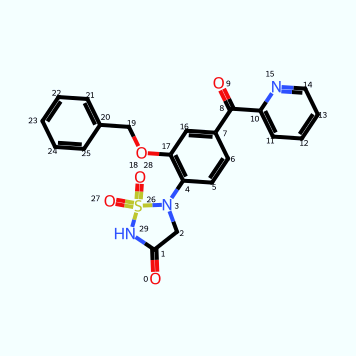 O=C1CN(c2ccc(C(=O)c3ccccn3)cc2OCc2ccccc2)S(=O)(=O)N1